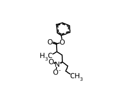 CCCC(CC(C)C(=O)Oc1ccccc1)[N+](=O)[O-]